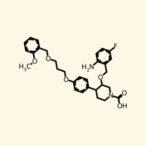 COc1ccccc1COCCCOc1ccc(C2CCN(C(=O)O)CC2OCc2cc(F)ccc2N)cc1